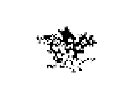 CC(C)c1nc2c(c(-c3ccc(F)cc3)c1/C=C/[C@@H]1C[C@H](CC(=O)OC(C)(C)C)OC(C)(C)O1)CCn1nnnc1-2